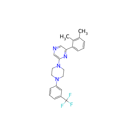 Cc1cccc(-c2cncc(N3CCN(c4cccc(C(F)(F)F)c4)CC3)n2)c1C